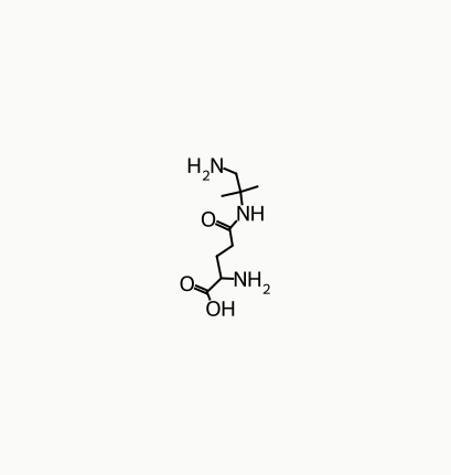 CC(C)(CN)NC(=O)CCC(N)C(=O)O